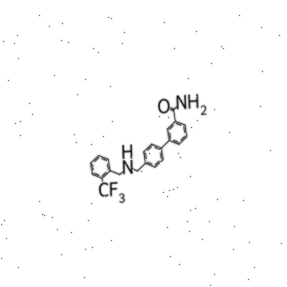 NC(=O)c1cccc(-c2ccc(CNCc3ccccc3C(F)(F)F)cc2)c1